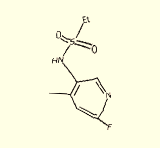 CCS(=O)(=O)Nc1cnc(F)cc1C